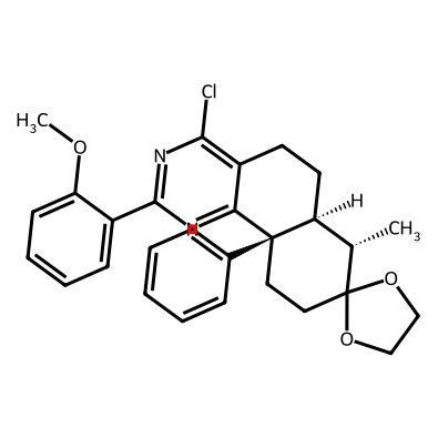 COc1ccccc1-c1nc(Cl)c2c(n1)[C@@]1(c3ccccc3)CCC3(OCCO3)[C@@H](C)[C@@H]1CC2